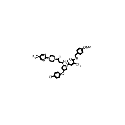 C=C(/C=C(\C(=O)NCc1ccc(OC)cc1)C(F)(F)F)N1C[C@@H](Oc2ccc(Cl)cc2)C[C@H]1CCC(=O)N1CCN(c2ncc(C(F)(F)F)cn2)CC1